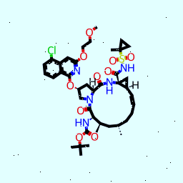 COCCOc1cc2c(Cl)cccc2c(O[C@@H]2C[C@H]3C(=O)N[C@]4(C(=O)NS(=O)(=O)C5(C)CC5)C[C@H]4/C=C\CC[C@H](C)C[C@@H](C)[C@H](NC(=O)OC(C)(C)C)C(=O)N3C2)n1